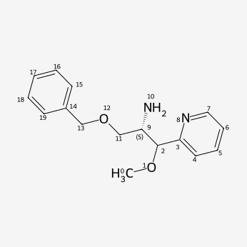 COC(c1ccccn1)[C@@H](N)COCc1ccccc1